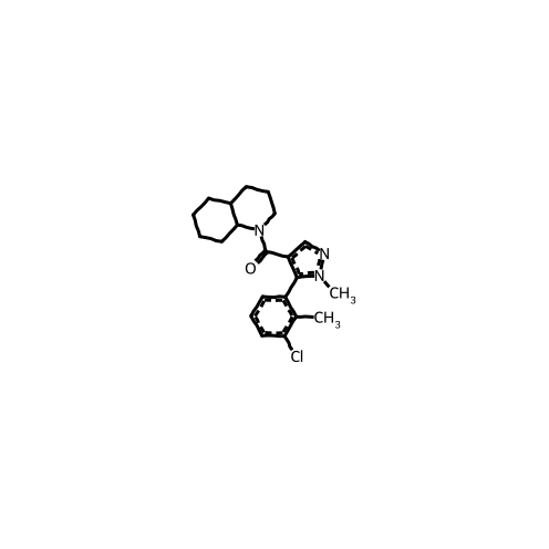 Cc1c(Cl)cccc1-c1c(C(=O)N2CCCC3CCCCC32)cnn1C